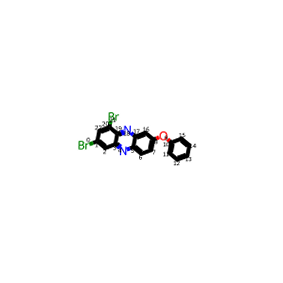 Brc1[c]c2nc3ccc(Oc4ccccc4)cc3nc2c(Br)c1